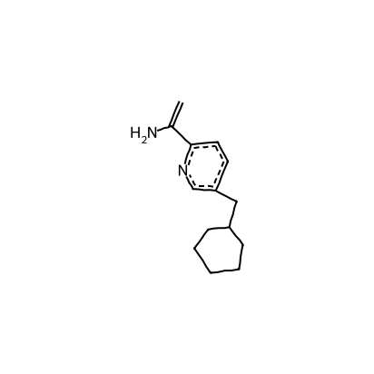 C=C(N)c1ccc(CC2CCCCC2)cn1